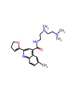 Cc1ccc2nc(C3=CCCO3)cc(C(=O)NCCN(C)CCN(C)C)c2c1